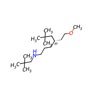 COCC[C@H](CCCNCC(C)(C)C)CC(C)(C)C